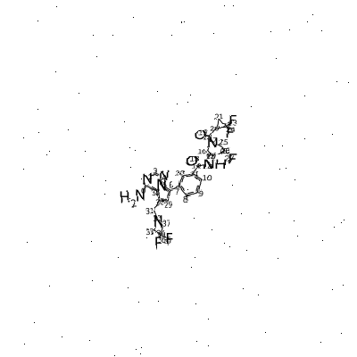 Nc1ncnn2c(-c3cccc(C(=O)N[C@@H]4CN(C(=O)C5CC5(F)F)C[C@@H]4F)c3)cc(CN3CC(F)(F)C3)c12